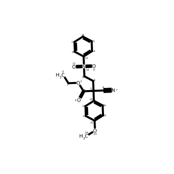 CCOC(=O)C(C#N)(CCS(=O)(=O)c1ccccc1)c1ccc(OC)cc1